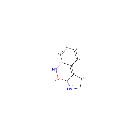 C1=CC2=C3CCNC3ONC2C=C1